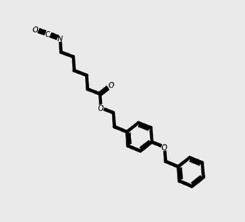 O=C=NCCCCCC(=O)OCCc1ccc(OCc2ccccc2)cc1